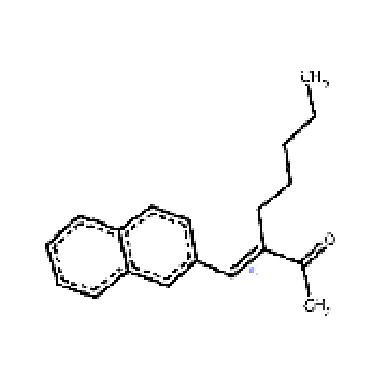 CCCCC/C(=C\c1ccc2ccccc2c1)C(C)=O